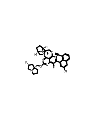 C#Cc1cccc2cc(O)cc(-c3nc4c5c(nc(OC[C@@]67CCCN6C[C@H](F)C7)nc5c3F)N3C[C@H]5CC[C@H](N5)[C@H]3CO4)c12